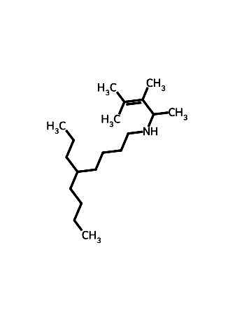 CCCCC(CCC)CCCCNC(C)C(C)=C(C)C